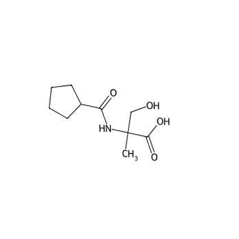 CC(CO)(NC(=O)C1CCCC1)C(=O)O